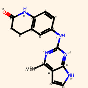 CNc1nc(Nc2ccc3c(c2)CCC(=O)N3)nc2[nH]ccc12